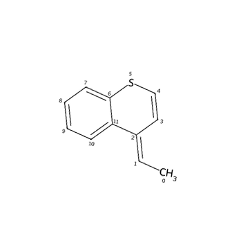 CC=C1C=CSc2ccccc21